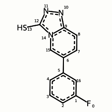 Fc1cccc(-c2ccc3nnc(S)n3c2)c1